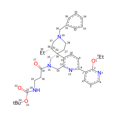 CCOc1ncccc1-c1ccc2c(n1)CN(C(=O)CCNC(=O)OC(C)(C)C)C[C@]21CCN(Cc2ccccc2)C[C@H]1CC